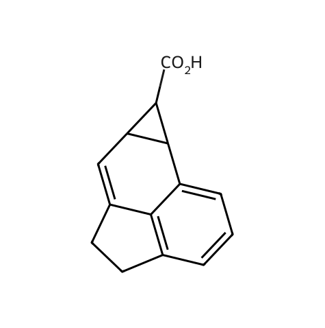 O=C(O)C1C2C=C3CCc4cccc(c43)C21